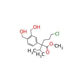 COC(=O)C(CCCCl)(c1ccc(CO)c(CO)c1)C(C)C